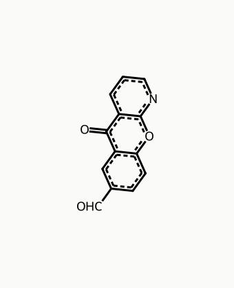 O=Cc1ccc2oc3ncccc3c(=O)c2c1